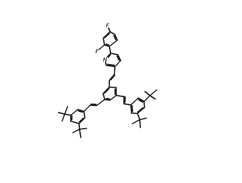 CC(C)(C)c1cc(C=Cc2cc(C=Cc3ccc(-c4ccc(F)cc4F)nc3)cc(C=Cc3cc(C(C)(C)C)cc(C(C)(C)C)c3)c2)cc(C(C)(C)C)c1